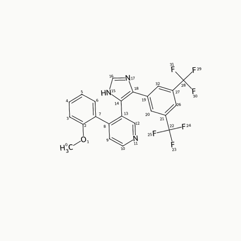 COc1ccccc1-c1ccncc1-c1[nH]cnc1-c1cc(C(F)(F)F)cc(C(F)(F)F)c1